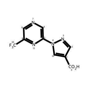 O=C(O)c1cnn(-c2cncc(C(F)(F)F)n2)c1